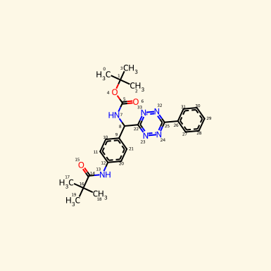 CC(C)(C)OC(=O)NC(c1ccc(NC(=O)C(C)(C)C)cc1)c1nnc(-c2ccccc2)nn1